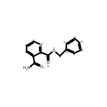 NC(=O)c1cccnc1C(=O)OCc1ccccc1